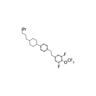 CC(C)CCCC1CCC(c2ccc(CCc3cc(F)c(OC(F)(F)F)c(F)c3)cc2)CC1